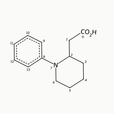 O=C(O)CC1CCCCN1c1ccccc1